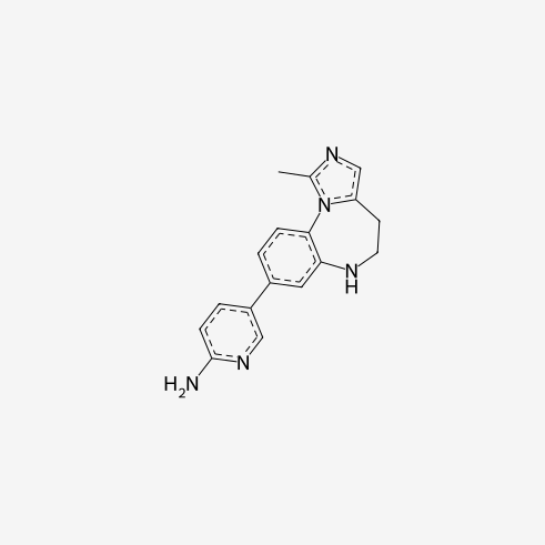 Cc1ncc2n1-c1ccc(-c3ccc(N)nc3)cc1NCC2